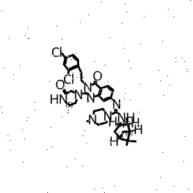 C[C@H]1[C@@H](NC(=Nc2ccc3c(=O)n(CCc4ccc(Cl)cc4Cl)c(N4CC(=O)N[C@@H](C)C4)nc3c2)N2CCN(C)CC2)C[C@H]2C[C@H]1C2(C)C